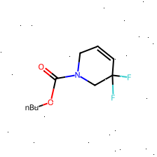 CCCCOC(=O)N1CC=CC(F)(F)C1